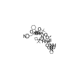 C=C[C@@H]1C[C@]1(NC(=O)[C@@H]1C[C@@]2(CN1C(=O)[C@@H](NC(=O)[C@@H](NC(=O)Cc1ccncc1)C1CCCCC1)C(C)(C)C)C(C)(C)C21CCC1)C(=O)NS(=O)(=O)N1CCCC1